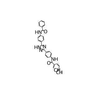 C#C/C=C\C(=C/C)C(=O)Nc1ccc(-c2n[nH]c(-c3ccc(NC(=O)c4ccccc4)cc3)n2)cc1